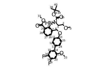 COCCN(Nc1c(COc2ccc(-c3cc(F)c(F)cc3OC)cc2)cccc1C(=O)OC)C(=O)OC(C)(C)C